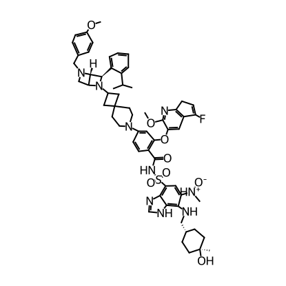 COc1ccc(CN2CC3[C@H]2[C@@H](c2ccccc2C(C)C)N3C2CC3(CCN(c4ccc(C(=O)NS(=O)(=O)c5cc([NH+](C)[O-])c(NC[C@H]6CC[C@](C)(O)CC6)c6[nH]cnc56)c(Oc5cc6c(nc5OC)CC=C6F)c4)CC3)C2)cc1